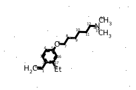 C=Cc1ccc(OCCCCCCN(C)C)cc1CC